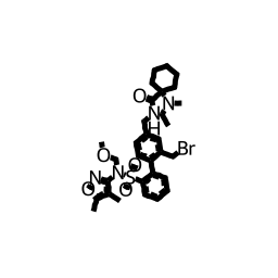 CCN(C)C1(C(=O)NCc2ccc(-c3ccccc3S(=O)(=O)N(COC)c3noc(C)c3C)c(CBr)c2)CCCCC1